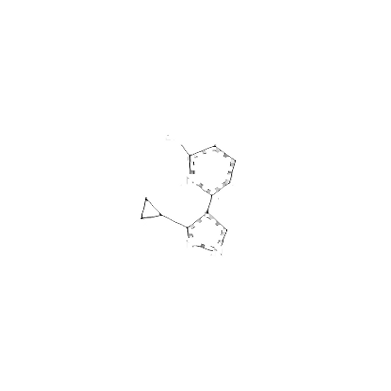 CC(=O)c1cccc(-c2cn[nH]c2C2CC2)n1